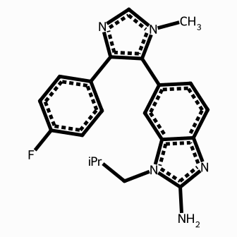 CC(C)Cn1c(N)nc2ccc(-c3c(-c4ccc(F)cc4)ncn3C)cc21